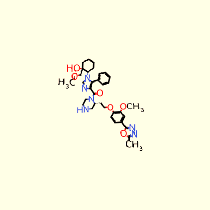 COC[C@]1(O)CCCC[C@H]1n1cnc(C(=O)N2CCNC[C@H]2CCOc2ccc(-c3nnc(C)o3)cc2OC)c1-c1ccccc1